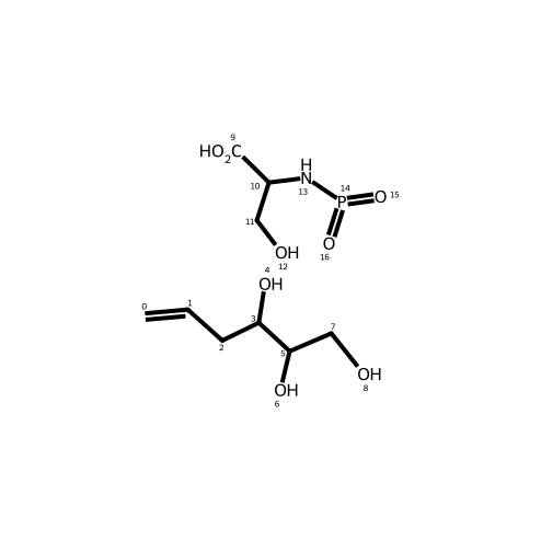 C=CCC(O)C(O)CO.O=C(O)C(CO)NP(=O)=O